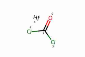 O=C(Cl)Cl.[Hf]